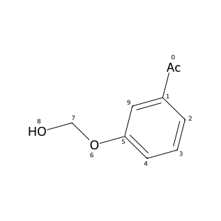 CC(=O)c1cccc(OCO)c1